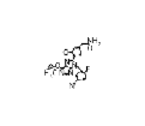 CC1(Oc2ncnc3c2nc(-c2ccc(CC(N)=O)cc2Cl)n3Cc2cc(C#N)ccc2F)CC1